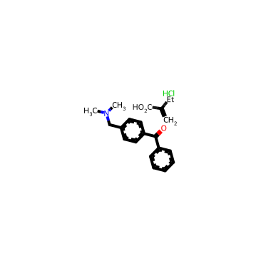 C=C(CC)C(=O)O.CN(C)Cc1ccc(C(=O)c2ccccc2)cc1.Cl